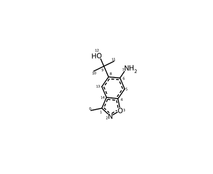 Cc1noc2cc(N)c(C(C)(C)O)cc12